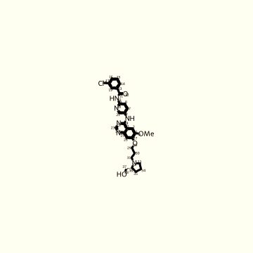 COc1cc2c(Nc3ccc(NC(=O)c4cccc(Cl)c4)nc3)ncnc2cc1OCCCN1CCC[C@@H]1CO